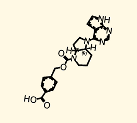 O=C(O)c1ccc(COC(=O)N2CCC[C@@H]3[C@H]2CCN3c2ncnc3[nH]ccc23)cc1